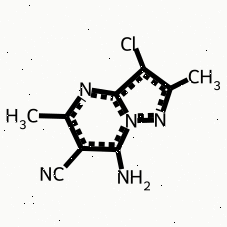 Cc1nc2c(Cl)c(C)nn2c(N)c1C#N